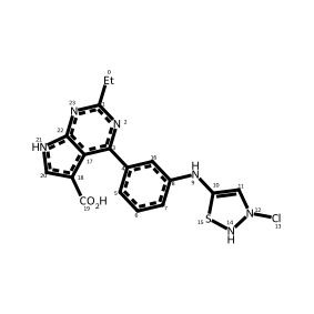 CCc1nc(-c2cccc(NC3=CN(Cl)NS3)c2)c2c(C(=O)O)c[nH]c2n1